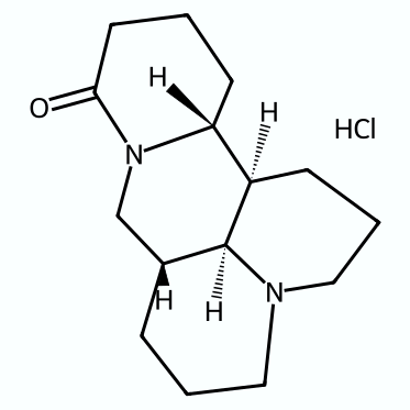 Cl.O=C1CCC[C@@H]2[C@H]3CCCN4CCC[C@H](CN12)[C@@H]34